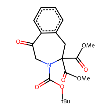 COC(=O)C1(C(=O)OC)Cc2ccccc2C(=O)CN1C(=O)OC(C)(C)C